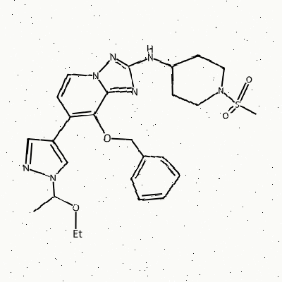 CCOC(C)n1cc(-c2ccn3nc(NC4CCN(S(C)(=O)=O)CC4)nc3c2OCc2ccccc2)cn1